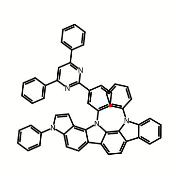 c1ccc(-c2cc(-c3ccccc3)nc(-c3cccc(-n4c5c(ccc6c5ccn6-c5ccccc5)c5ccc6c7ccccc7n(-c7ccccc7)c6c54)c3)n2)cc1